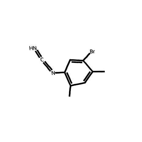 Cc1cc(C)c(N=C=N)cc1Br